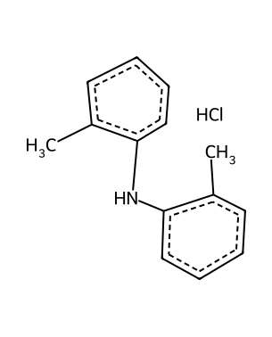 Cc1ccccc1Nc1ccccc1C.Cl